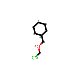 ClCOCC1CCCCC1